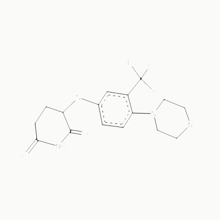 O=C1CCC(Nc2ccc(N3CCNCC3)c(C(F)(F)F)c2)C(=O)N1